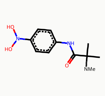 CNC(C)(C)C(=O)Nc1ccc(N(O)O)cc1